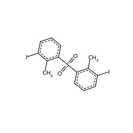 Cc1c(I)cccc1S(=O)(=O)c1cccc(I)c1C